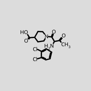 CC(=O)C(N)C(=O)N1CCC(C(=O)O)CC1.Clc1ccccc1Cl